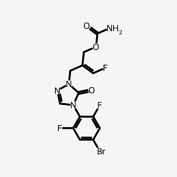 NC(=O)OCC(=CF)Cn1ncn(-c2c(F)cc(Br)cc2F)c1=O